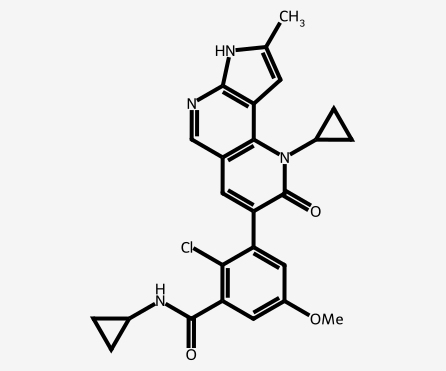 COc1cc(C(=O)NC2CC2)c(Cl)c(-c2cc3cnc4[nH]c(C)cc4c3n(C3CC3)c2=O)c1